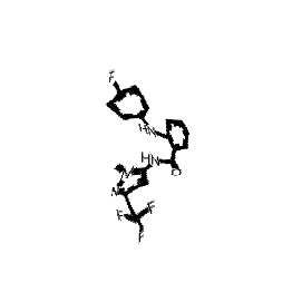 Cn1nc(C(F)(F)F)cc1NC(=O)c1ccccc1Nc1ccc(F)cc1